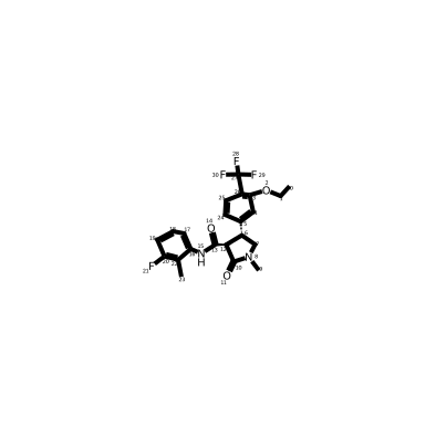 CCOc1cc([C@@H]2CN(C)C(=O)[C@H]2C(=O)Nc2cccc(F)c2C)ccc1C(F)(F)F